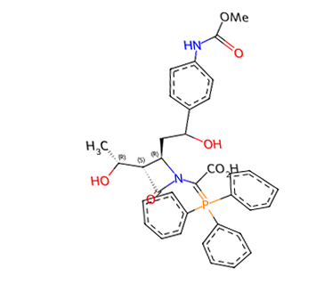 COC(=O)Nc1ccc(C(O)C[C@@H]2[C@@H]([C@@H](C)O)C(=O)N2C(C(=O)O)=P(c2ccccc2)(c2ccccc2)c2ccccc2)cc1